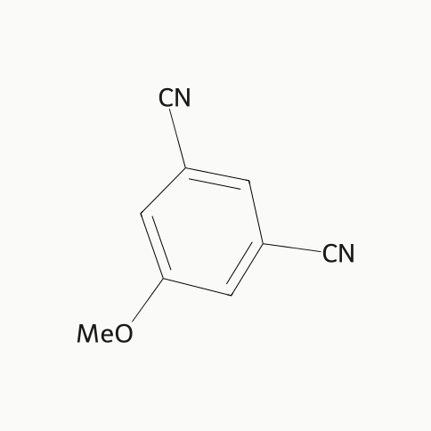 [CH2]Oc1cc(C#N)cc(C#N)c1